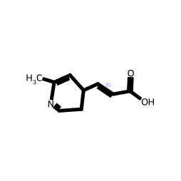 CC1=CC(/C=C/C(=O)O)CC=N1